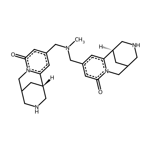 CN(Cc1cc2n(c(=O)c1)CC1CNC[C@@H]2C1)Cc1cc2n(c(=O)c1)CC1CNC[C@H]2C1